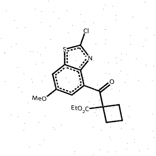 CCOC(=O)C1(C(=O)c2cc(OC)cc3sc(Cl)nc23)CCC1